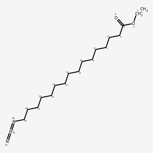 C.COC(=O)CCCCCCCCCCCCCCCN=[N+]=[N-]